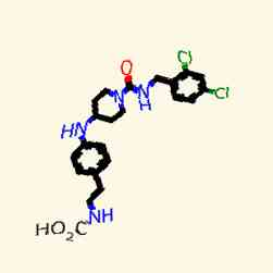 O=C(O)NCCc1ccc(NC2CCN(C(=O)NCc3ccc(Cl)cc3Cl)CC2)cc1